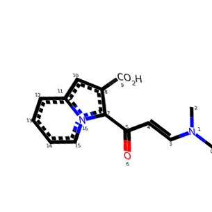 CN(C)C=CC(=O)c1c(C(=O)O)cc2ccccn12